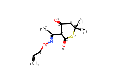 C=CCON=C(CCC)C1C(=O)CC(C)(C)SC1=O